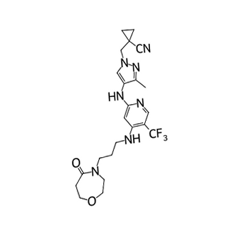 Cc1nn(CC2(C#N)CC2)cc1Nc1cc(NCCCN2CCOCCC2=O)c(C(F)(F)F)cn1